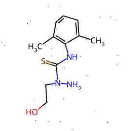 Cc1cccc(C)c1NC(=S)N(N)CCO